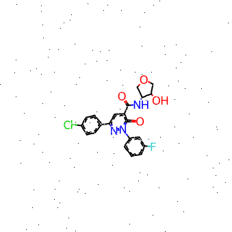 O=C(N[C@@H]1COC[C@H]1O)c1cc(-c2ccc(Cl)cc2)nn(-c2cccc(F)c2)c1=O